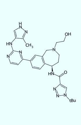 Cc1n[nH]cc1Nc1nccc(-c2ccc3c(c2)CN(CCO)CC[C@H]3NC(=O)c2cn(C(C)(C)C)nn2)n1